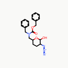 [N-]=[N+]=NC1CCC(CN(Cc2ccccc2)C(=O)OCc2ccccc2)OC1O